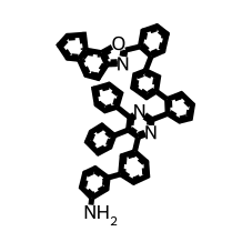 Nc1cccc(-c2cccc(-c3nc(-c4ccccc4-c4cccc(-c5ccccc5-c5nc6ccc7ccccc7c6o5)c4)nc(-c4ccccc4)c3-c3ccccc3)c2)c1